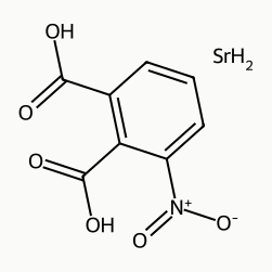 O=C(O)c1cccc([N+](=O)[O-])c1C(=O)O.[SrH2]